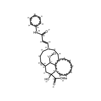 CCOC1c2c3ccccccn2C(O)(C(=O)OC)CC1(CC)CCCN(/C=C/C(=O)Nc1ccccc1)CC3